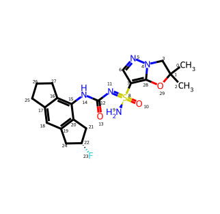 CC1(C)Cn2ncc([S@](N)(=O)=NC(=O)Nc3c4c(cc5c3C[C@H](F)C5)CCC4)c2O1